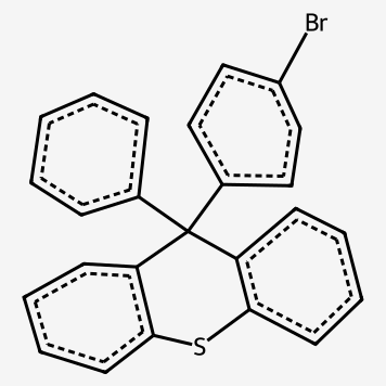 Brc1ccc(C2(c3ccccc3)c3ccccc3Sc3ccccc32)cc1